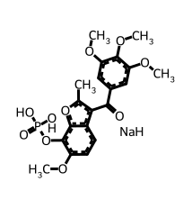 COc1cc(C(=O)c2c(C)oc3c(OP(=O)(O)O)c(OC)ccc23)cc(OC)c1OC.[NaH]